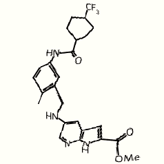 COC(=O)c1cc2cc(NCc3cc(NC(=O)C4CCC(C(F)(F)F)CC4)ccc3C)cnc2[nH]1